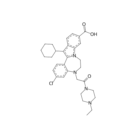 CCN1CCN(C(=O)CN2CCn3c(c(C4CCCCC4)c4ccc(C(=O)O)cc43)-c3ccc(Cl)cc32)CC1